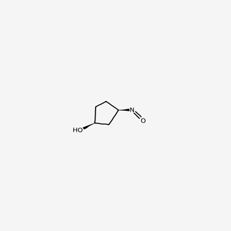 O=N[C@@H]1CC[C@H](O)C1